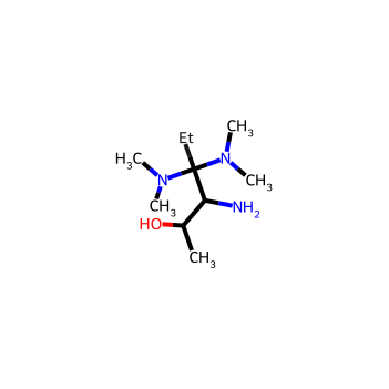 CCC(C(N)C(C)O)(N(C)C)N(C)C